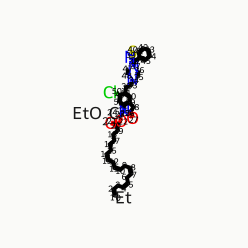 CC/C=C\C/C=C\C/C=C\C/C=C\C/C=C\CCCCCC(=O)OC(C(=O)OCC)N1C(=O)Cc2cc(CCN3CCN(c4nsc5ccccc45)CC3)c(Cl)cc21